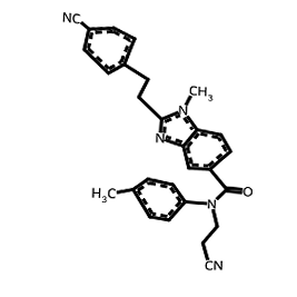 Cc1ccc(N(CCC#N)C(=O)c2ccc3c(c2)nc(CCc2ccc(C#N)cc2)n3C)cc1